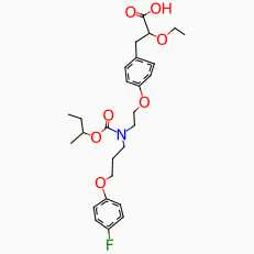 CCOC(Cc1ccc(OCCN(CCCOc2ccc(F)cc2)C(=O)OC(C)CC)cc1)C(=O)O